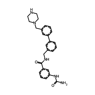 NC(=O)Nc1cccc(C(=O)NCc2cccc(-c3cccc(CN4CCNCC4)c3)c2)c1